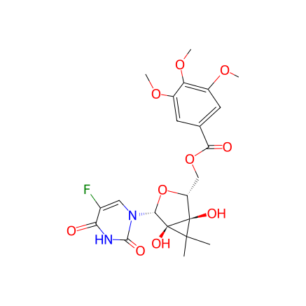 COc1cc(C(=O)OC[C@H]2O[C@@H](n3cc(F)c(=O)[nH]c3=O)[C@@]3(O)C(C)(C)[C@@]23O)cc(OC)c1OC